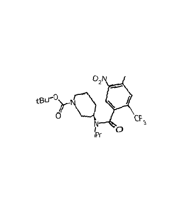 Cc1cc(C(F)(F)F)c(C(=O)N(C(C)C)[C@@H]2CCCN(C(=O)OC(C)(C)C)C2)cc1[N+](=O)[O-]